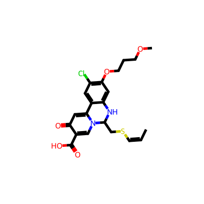 C/C=C\SCC1Nc2cc(OCCCOC)c(Cl)cc2-c2cc(=O)c(C(=O)O)cn21